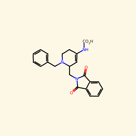 O=C(O)NC1=CC(CN2C(=O)c3ccccc3C2=O)N(Cc2ccccc2)CC1